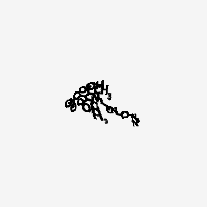 CC1=C(C(=O)O)C(c2cccc([N+](=O)[O-])c2)C(C(=O)O)=C(C)N1CCCON=Cc1ccc(Cn2ccnc2)cc1